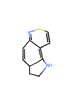 C1=CC2=C3NCCC3C=CC2=NS1